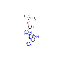 CN(C)CCOc1cc(F)cc(-c2ccnc3[nH]c(-c4n[nH]c5ccc(-c6cnccn6)nc45)nc23)c1